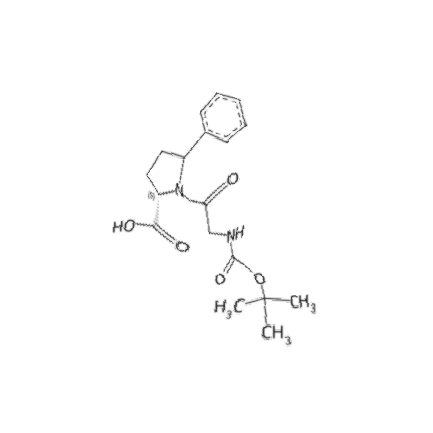 CC(C)(C)OC(=O)NCC(=O)N1C(c2ccccc2)CC[C@H]1C(=O)O